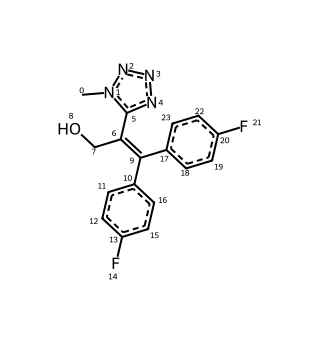 Cn1nnnc1C(CO)=C(c1ccc(F)cc1)c1ccc(F)cc1